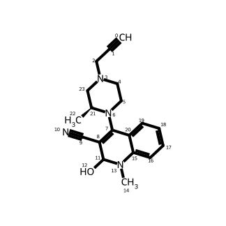 C#CCN1CCN(C2=C(C#N)C(O)N(C)c3ccccc32)[C@@H](C)C1